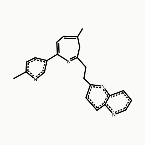 CC1=CC=C(c2ccc(C)nc2)N=C(CCc2ccc3ncccc3n2)C1